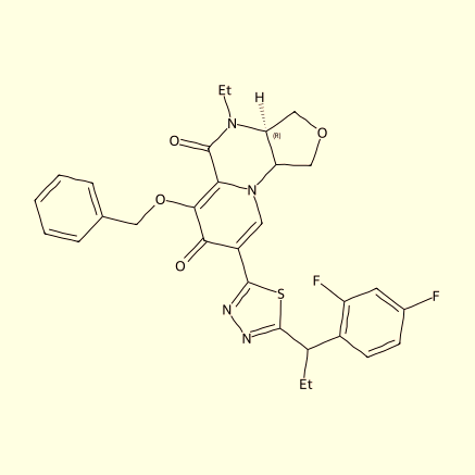 CCC(c1nnc(-c2cn3c(c(OCc4ccccc4)c2=O)C(=O)N(CC)[C@H]2COCC23)s1)c1ccc(F)cc1F